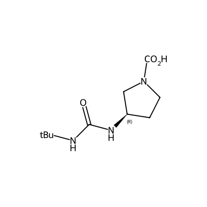 CC(C)(C)NC(=O)N[C@@H]1CCN(C(=O)O)C1